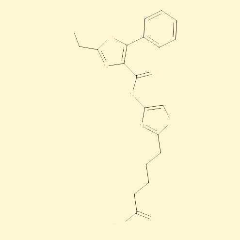 CCc1nc(C(=O)Nc2coc(CCCCC(C)=O)n2)c(-c2ccccc2)o1